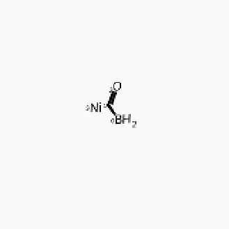 BC=O.[Ni]